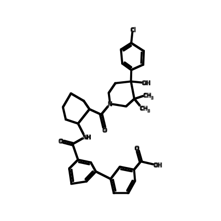 CC1(C)CN(C(=O)C2CCCCC2NC(=O)c2cccc(-c3cccc(C(=O)O)c3)c2)CCC1(O)c1ccc(Cl)cc1